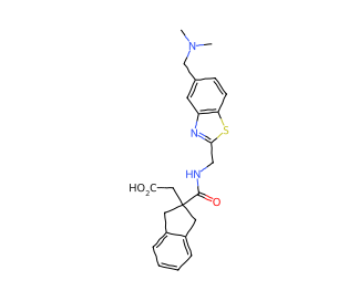 CN(C)Cc1ccc2sc(CNC(=O)C3(CC(=O)O)Cc4ccccc4C3)nc2c1